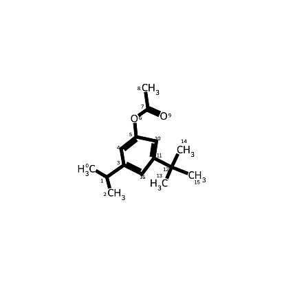 C[C](C)c1cc(OC(C)=O)cc(C(C)(C)C)c1